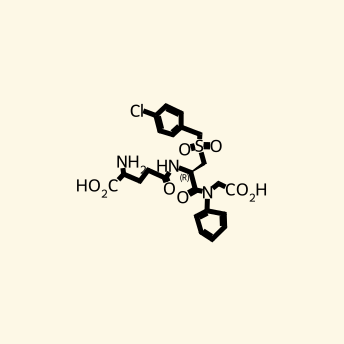 NC(CCC(=O)N[C@@H](CS(=O)(=O)Cc1ccc(Cl)cc1)C(=O)N(CC(=O)O)c1ccccc1)C(=O)O